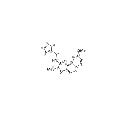 CSc1cnc2ccc(OC(SC)C(=O)NCc3nccs3)cc2c1